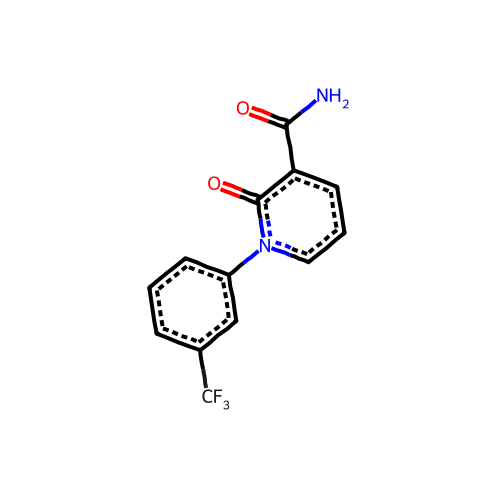 NC(=O)c1cccn(-c2cccc(C(F)(F)F)c2)c1=O